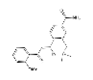 COc1ccccc1C(=O)C=C1NC(C)(C)Cc2cc(C(N)=O)ccc21